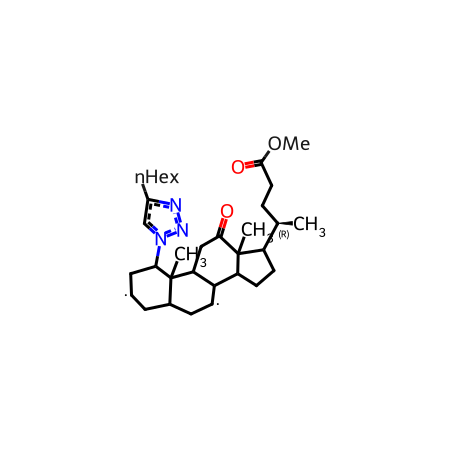 CCCCCCc1cn(C2C[CH]CC3C[CH]C4C5CCC([C@H](C)CCC(=O)OC)C5(C)C(=O)CC4C32C)nn1